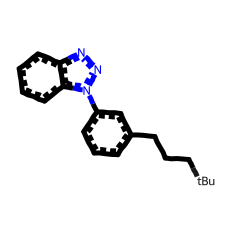 CC(C)(C)CCCc1cccc(-n2nnc3ccccc32)c1